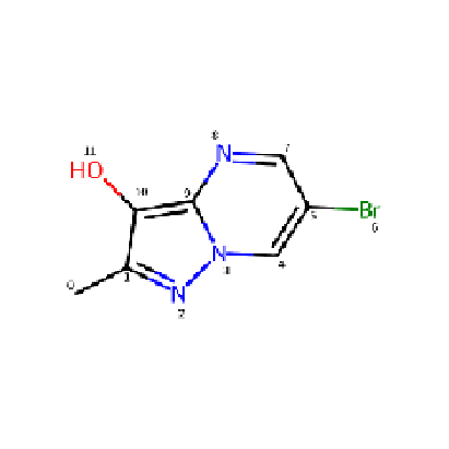 Cc1nn2cc(Br)cnc2c1O